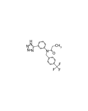 CCC(=O)N(Cc1ccc(C(F)(F)F)cc1)c1cccc(-c2nnn[nH]2)c1